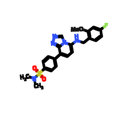 COc1cc(F)ccc1CNc1ccc(-c2ccc(S(=O)(=O)N(C)C)cc2)c2nncn12